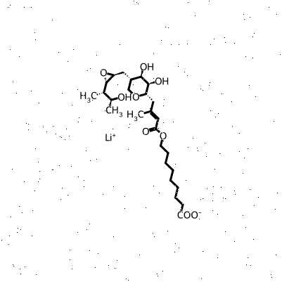 C/C(=C\C(=O)OCCCCCCCCC(=O)[O-])C[C@@H]1OC[C@H](C[C@@H]2O[C@H]2[C@@H](C)[C@H](C)O)[C@@H](O)[C@H]1O.[Li+]